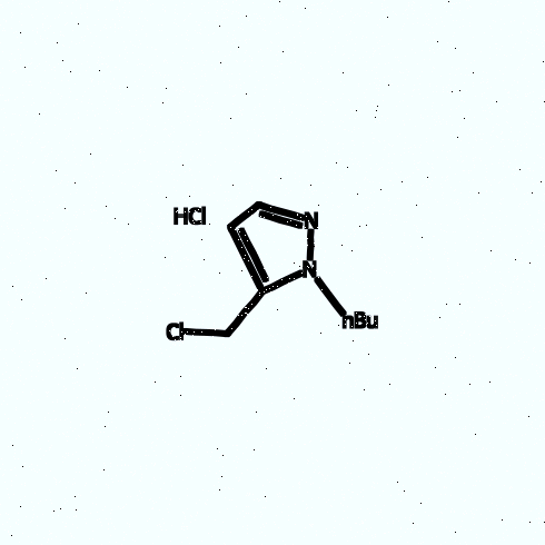 CCCCn1nccc1CCl.Cl